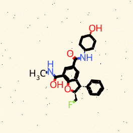 CNC(O)c1cc(C(=O)N[C@H]2CC[C@H](O)CC2)cc2c1O[C@H](CF)[C@H]2c1ccccc1